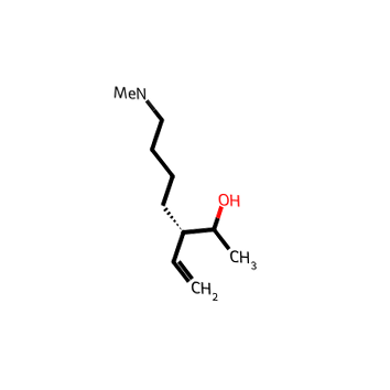 C=C[C@H](CCCCNC)C(C)O